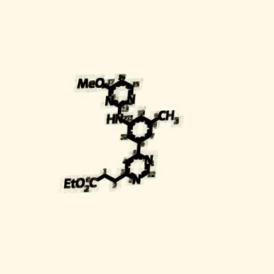 CCOC(=O)CCc1cc(-c2cc(C)cc(Nc3nccc(OC)n3)c2)ncn1